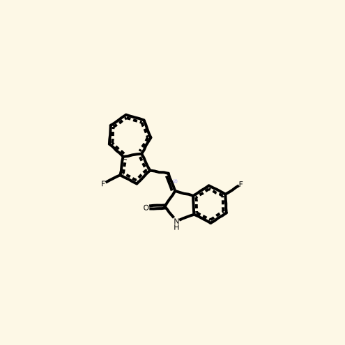 O=C1Nc2ccc(F)cc2/C1=C/c1cc(F)c2cccccc1-2